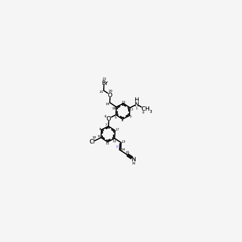 CNc1ccc(Oc2cc(Cl)cc(/C=C/C#N)c2)c(COCBr)c1